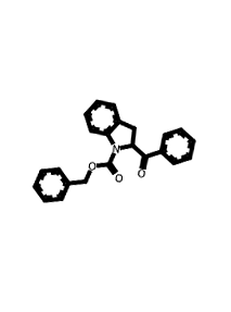 O=C(c1ccccc1)C1Cc2ccccc2N1C(=O)OCc1ccccc1